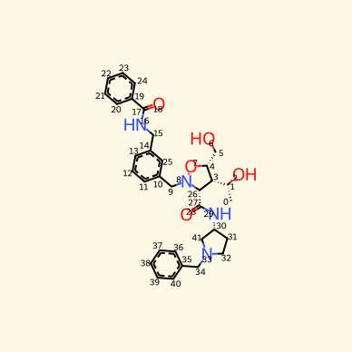 C[C@@H](O)[C@H]1[C@@H](CO)ON(Cc2cccc(CNC(=O)c3ccccc3)c2)[C@H]1C(=O)N[C@@H]1CCN(Cc2ccccc2)C1